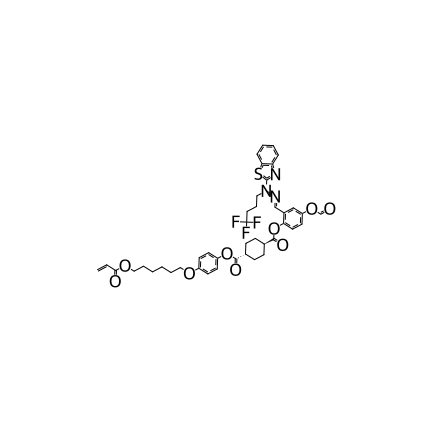 C=CC(=O)OCCCCCCOc1ccc(OC(=O)[C@H]2CC[C@H](C(=O)Oc3ccc(OC=O)cc3/C=N/N(CCCC(F)(F)F)c3nc4ccccc4s3)CC2)cc1